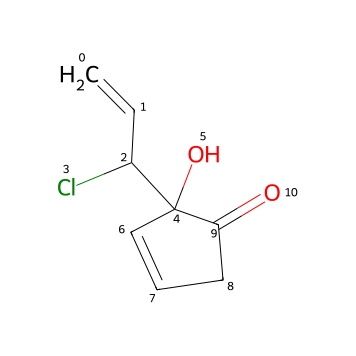 C=CC(Cl)C1(O)C=CCC1=O